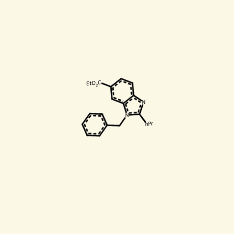 CCCc1nc2ccc(C(=O)OCC)cc2n1Cc1ccccc1